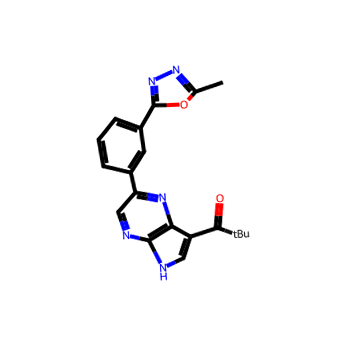 Cc1nnc(-c2cccc(-c3cnc4[nH]cc(C(=O)C(C)(C)C)c4n3)c2)o1